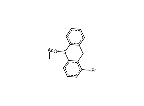 CC(C)=O.CC(C)c1cccc2c1Cc1ccccc1[S+]2[O-]